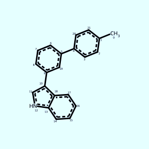 Cc1ccc(-c2cccc(-c3c[nH]c4ccccc34)c2)cc1